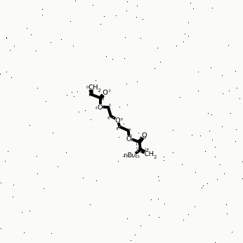 C=CC(=O)OCCOCCOC(=O)C(=C)CCCC